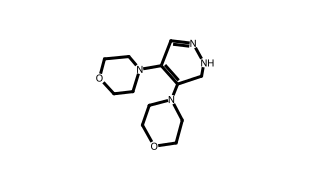 C1=NNCC(N2CCOCC2)=C1N1CCOCC1